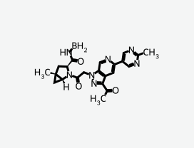 BNC(=O)[C@@H]1C[C@@]2(C)C[C@H]2N1C(=O)Cn1nc(C(C)=O)c2cc(-c3cnc(C)nc3)ncc21